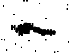 COC(=O)CCCOCCOCCOCCCCCCOc1cccc([C@H](C)NC(=O)c2cccc(NC3(C(=N)NC(=N)c4ccncc4)CCN(C)CC3)c2)c1